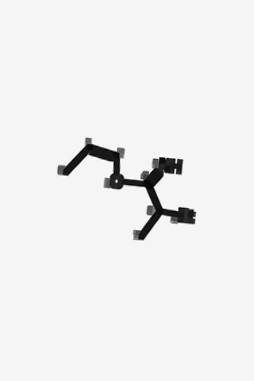 C/C=C\OC(=N)C(C)CC